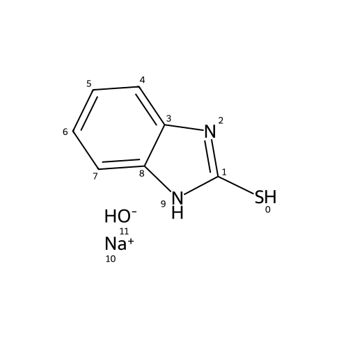 Sc1nc2ccccc2[nH]1.[Na+].[OH-]